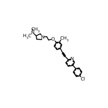 Cc1cc(C#Cc2ccc(-c3ccc(Cl)cc3)cn2)ccc1OCCN1CCC(N(C)C)C1